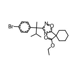 CCOC(=O)C1(c2nc(C(C)(c3ccc(Br)cc3)C(C)C)no2)CCCCC1